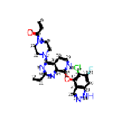 C=CC(=O)N1CCN(c2nc(CC)nc3c(Oc4c(Cl)c(F)cc5[nH]ncc45)nccc23)CC1